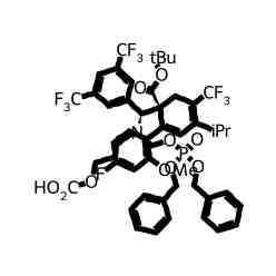 COc1cc(F)ccc1C1=CC(C(C)C)=C(C(F)(F)F)C[C@@]1(C(=O)OC(C)(C)C)[C@@H](c1cc(C(F)(F)F)cc(C(F)(F)F)c1)N(CCCOC(=O)O)COP(=O)(OCc1ccccc1)OCc1ccccc1